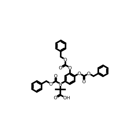 CC(C)(C(=O)O)N(C(=O)OCc1ccccc1)c1ccc(OC(=O)OCc2ccccc2)c(OC(=O)OCc2ccccc2)c1